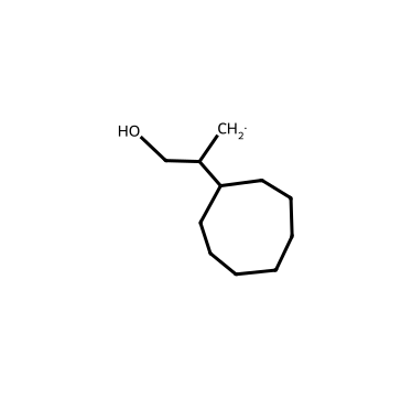 [CH2]C(CO)C1CCCCCCC1